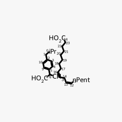 CC(C)Cc1ccc(C(C)C(=O)O)cc1.CCCCC/C=C\C/C=C\CCCCCCCC(=O)O